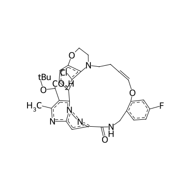 Cc1nc2cc3nn2c(c1[C@H](OC(C)(C)C)C(=O)O)-c1ccc2c(c1Cl)N(CC/C=C\Oc1cc(F)ccc1CNC3=O)CCO2